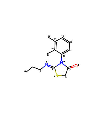 CCC/N=C1\SCC(=O)N1c1cccc(C)c1C